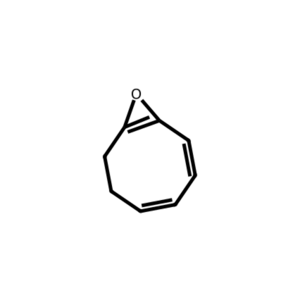 C1=CCCC2=C(C=C1)O2